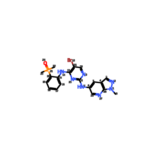 Cn1ncc2cc(Nc3ncc(Br)c(Nc4ccccc4P(C)(C)=O)n3)cnc21